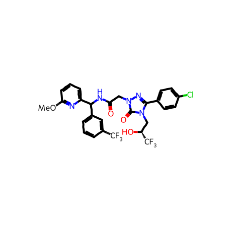 COc1cccc(C(NC(=O)Cn2nc(-c3ccc(Cl)cc3)n(C[C@H](O)C(F)(F)F)c2=O)c2cccc(C(F)(F)F)c2)n1